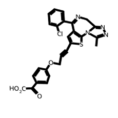 Cc1nnc2n1-c1sc(C#CCOc3ccc(C(=O)C(=O)O)cc3)cc1C(c1ccccc1Cl)=NC2